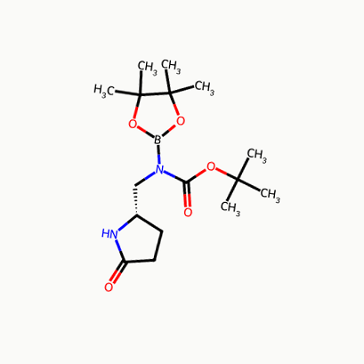 CC(C)(C)OC(=O)N(C[C@@H]1CCC(=O)N1)B1OC(C)(C)C(C)(C)O1